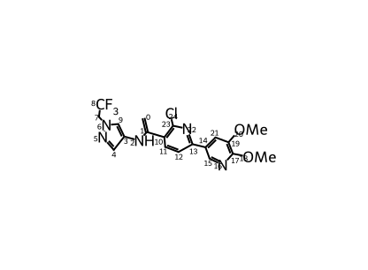 C=C(Nc1cnn(CC(F)(F)F)c1)c1ccc(-c2cnc(OC)c(OC)c2)nc1Cl